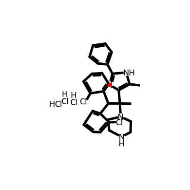 Cc1[nH]c(-c2ccccc2)nc1C(C)(C(c1ccccc1Cl)c1ccccc1Cl)N1CCNCC1.Cl.Cl.Cl